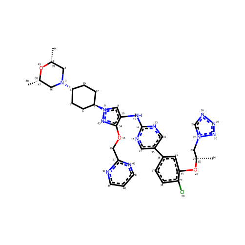 C[C@@H]1CN([C@H]2CC[C@H](n3cc(Nc4ncc(-c5ccc(Cl)c(O[C@@H](C)Cn6cnnn6)c5)cn4)c(OCc4ncccn4)n3)CC2)C[C@H](C)O1